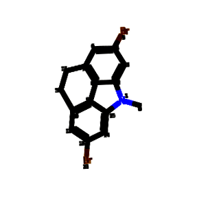 Cn1c2cc(Br)cc3c2c2c(cc(Br)cc21)CC3